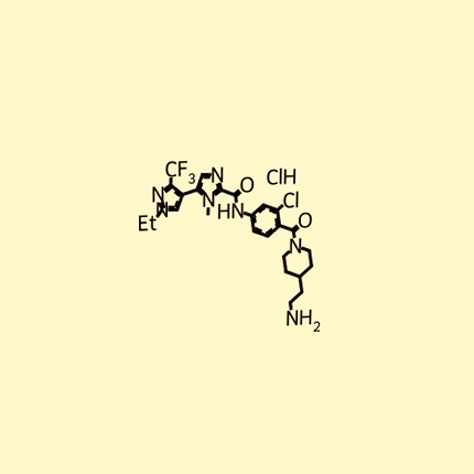 CCn1cc(-c2cnc(C(=O)Nc3ccc(C(=O)N4CCC(CCN)CC4)c(Cl)c3)n2C)c(C(F)(F)F)n1.Cl